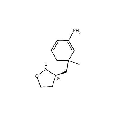 CC1(C[C@H]2CCON2)C=C(P)C=CC1